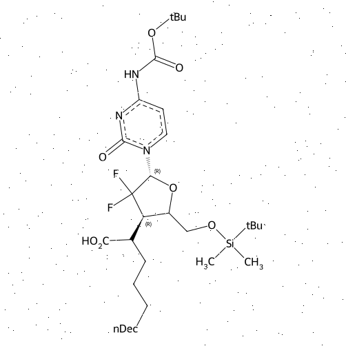 CCCCCCCCCCCCCC(C(=O)O)[C@@H]1C(CO[Si](C)(C)C(C)(C)C)O[C@@H](n2ccc(NC(=O)OC(C)(C)C)nc2=O)C1(F)F